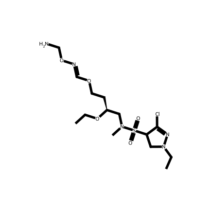 CCO[C@@H](CCO/C=N/OCN)CN(C)S(=O)(=O)C1CN(CC)N=C1Cl